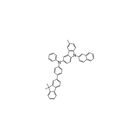 Cc1ccc2c(c1)c1cc(N(c3ccccc3)c3ccc(-c4ccc5c(c4)C(C)(C)c4ccccc4-5)cc3)ccc1n2-c1ccc2ccccc2c1